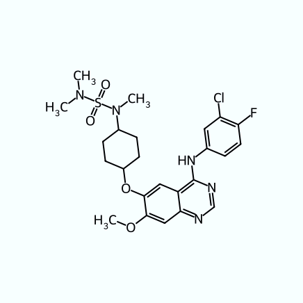 COc1cc2ncnc(Nc3ccc(F)c(Cl)c3)c2cc1OC1CCC(N(C)S(=O)(=O)N(C)C)CC1